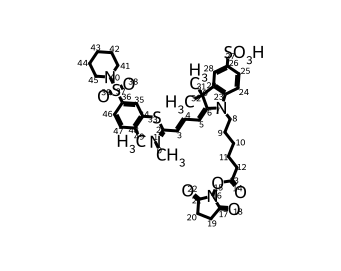 C\N=C(/C=C/C=C1/N(CCCCCC(=O)ON2C(=O)CCC2=O)c2ccc(S(=O)(=O)O)cc2C1(C)C)Sc1cc(S(=O)(=O)N2CCCCC2)ccc1C